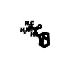 C[C@@H](N)C(=O)NC1C2CC3CC(C2)CC1C3